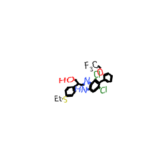 CCSc1ccc(C(CO)c2nc3c(Cl)c(-c4ccccc4OCC(F)(F)F)c(Cl)cc3[nH]2)cc1